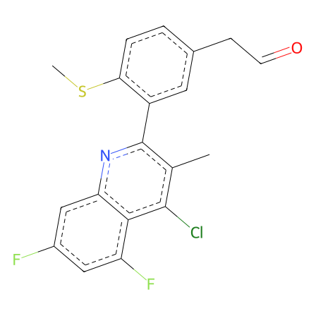 CSc1ccc(CC=O)cc1-c1nc2cc(F)cc(F)c2c(Cl)c1C